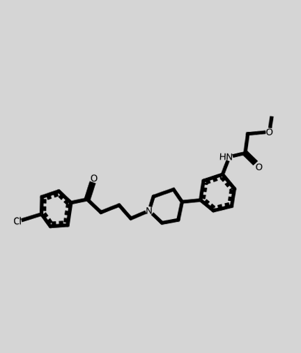 COCC(=O)Nc1cccc(C2CCN(CCCC(=O)c3ccc(Cl)cc3)CC2)c1